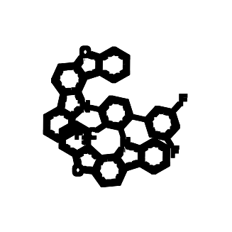 Fc1cc(F)cc(-c2ccc(-n3c4ccccc4c4ccc5oc6ccccc6c5c43)c(C(F)(F)F)c2-n2c3ccccc3c3ccc4oc5ccccc5c4c32)c1